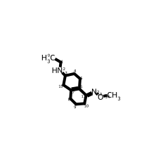 CCNC1CCC2=C(CCCC2=NOC)C1